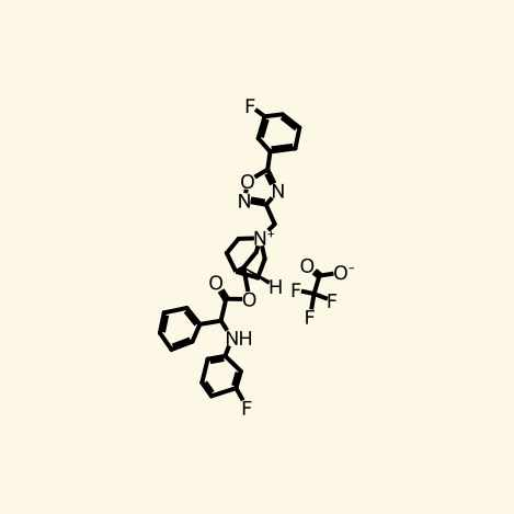 O=C(O[C@H]1C[N+]2(Cc3noc(-c4cccc(F)c4)n3)CCC1CC2)C(Nc1cccc(F)c1)c1ccccc1.O=C([O-])C(F)(F)F